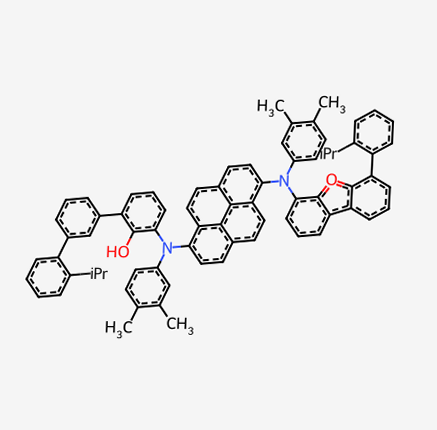 Cc1ccc(N(c2cccc(-c3cccc(-c4ccccc4C(C)C)c3)c2O)c2ccc3ccc4c(N(c5ccc(C)c(C)c5)c5cccc6c5oc5c(-c7ccccc7C(C)C)cccc56)ccc5ccc2c3c54)cc1C